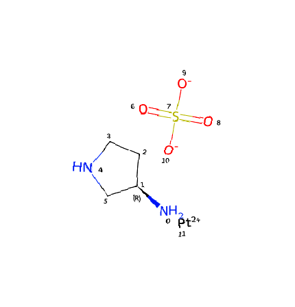 N[C@@H]1CCNC1.O=S(=O)([O-])[O-].[Pt+2]